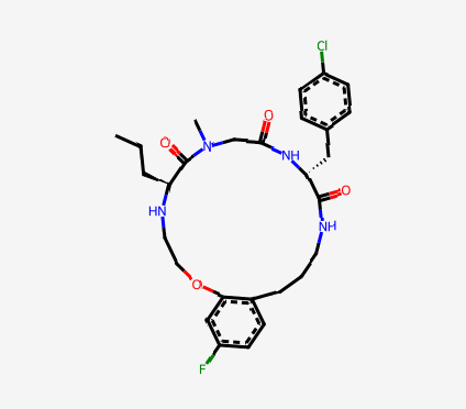 CCC[C@@H]1NCCOc2cc(F)ccc2CCCNC(=O)[C@@H](Cc2ccc(Cl)cc2)NC(=O)CN(C)C1=O